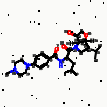 CC(C)CC(NC(=O)c1ccc(N2CCN(C)CC2)cc1)C(=O)N1C[C@@H](C(C)C)[C@H]2OCC(=O)[C@H]21